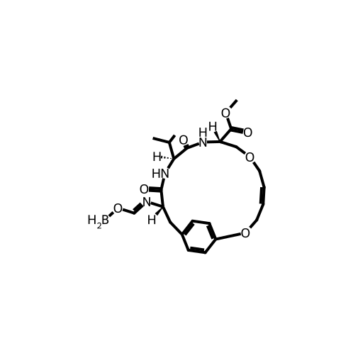 BOC=N[C@H]1Cc2ccc(cc2)OCC=CCOC[C@@H](C(=O)OC)NC(=O)[C@H](C(C)C)NC1=O